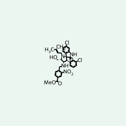 COC(=O)c1ccc(CN[C@@H]2[C@H](CO)N(CC=C(C)C)[C@@]3(C(=O)Nc4cc(Cl)ccc43)[C@H]2c2cccc(Cl)c2)c([N+](=O)[O-])c1